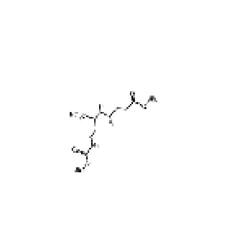 CCC(C)OC(=O)CCC(=O)N[C@@H](CCNC(=O)OC(C)(C)C)C(=O)O